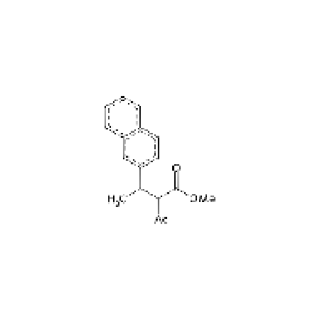 COC(=O)C(C(C)=O)C(C)c1ccc2ccccc2c1